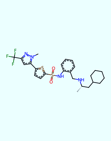 C[C@@H](CC1CCCCC1)NCc1ccccc1NS(=O)(=O)c1ccc(-c2cc(C(F)(F)F)nn2C)s1